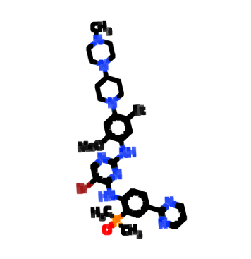 CCc1cc(Nc2ncc(Br)c(Nc3ccc(-c4ncccn4)cc3P(C)(C)=O)n2)c(OC)cc1N1CCC(N2CCN(C)CC2)CC1